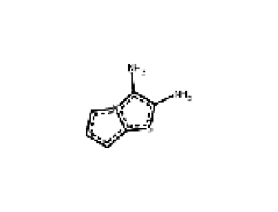 Nc1sc2cccn2c1N